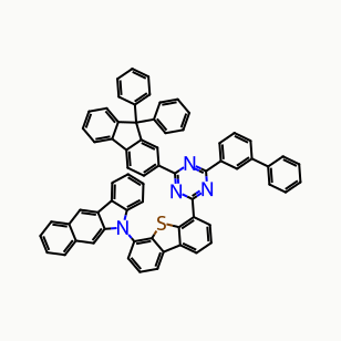 c1ccc(-c2cccc(-c3nc(-c4ccc5c(c4)C(c4ccccc4)(c4ccccc4)c4ccccc4-5)nc(-c4cccc5c4sc4c(-n6c7ccccc7c7cc8ccccc8cc76)cccc45)n3)c2)cc1